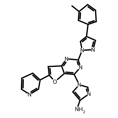 Cc1cccc(-c2cnn(-c3nc(-n4cnc(N)c4)c4oc(-c5cccnc5)cc4n3)c2)c1